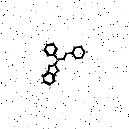 c1ccc(N(CCC2CCCCC2)C2Cc3ccccc3C2)cc1